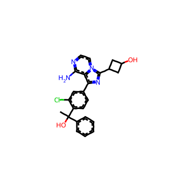 CC(O)(c1ccccc1)c1ccc(-c2nc(C3CC(O)C3)n3ccnc(N)c23)cc1Cl